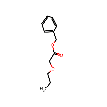 CCCOCC(=O)OCc1ccccc1